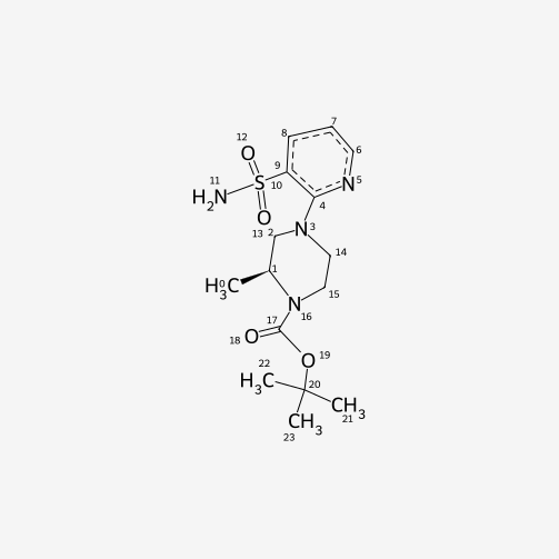 C[C@H]1CN(c2ncccc2S(N)(=O)=O)CCN1C(=O)OC(C)(C)C